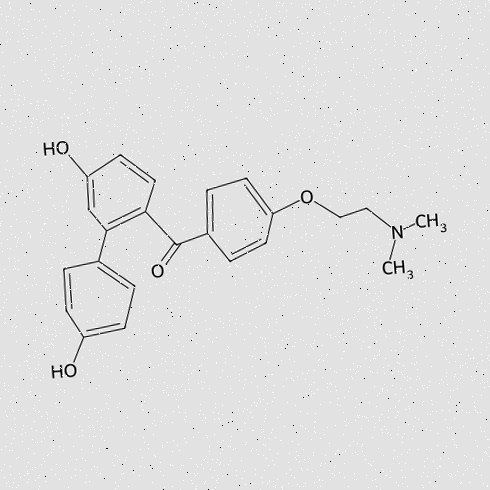 CN(C)CCOc1ccc(C(=O)c2ccc(O)cc2-c2ccc(O)cc2)cc1